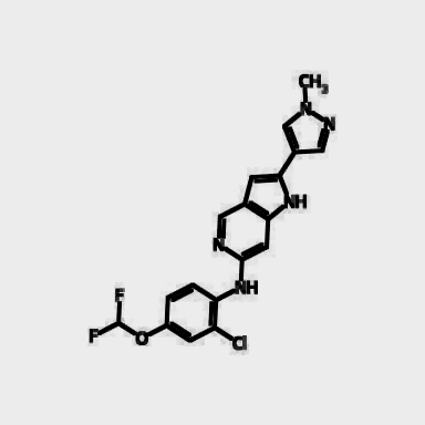 Cn1cc(-c2cc3cnc(Nc4ccc(OC(F)F)cc4Cl)cc3[nH]2)cn1